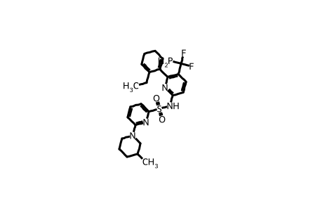 CCC1=CCCC=C1c1nc(NS(=O)(=O)c2cccc(N3CCCC(C)C3)n2)ccc1C(F)(F)P